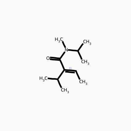 C/C=C(/C(=O)N(C)C(C)C)C(C)C